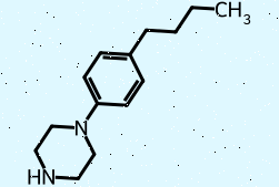 CCCCc1ccc(N2CCNCC2)cc1